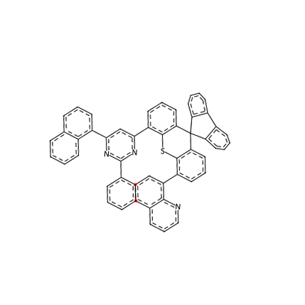 c1ccc(-c2nc(-c3cccc4c3Sc3c(-c5cccc6cccnc56)cccc3C43c4ccccc4-c4ccccc43)cc(-c3cccc4ccccc34)n2)cc1